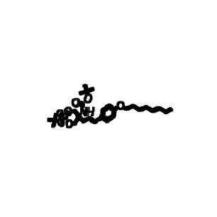 CCCCCCCCOc1ccc(CCCC2(NC(=O)OC(C)(C)C)COP(=O)(OC(C)(C)C)OC2)cc1